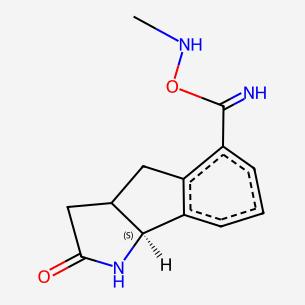 CNOC(=N)c1cccc2c1CC1CC(=O)N[C@H]21